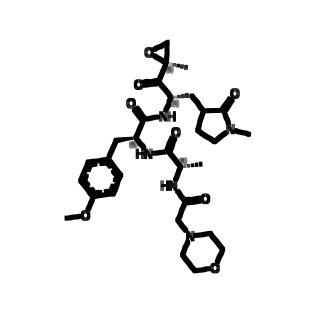 COc1ccc(C[C@H](NC(=O)[C@H](C)NC(=O)CN2CCOCC2)C(=O)N[C@@H](CC2CCN(C)C2=O)C(=O)[C@]2(C)CO2)cc1